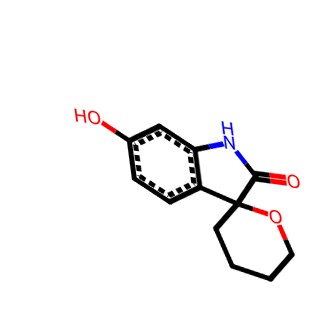 O=C1Nc2cc(O)ccc2C12CCCCO2